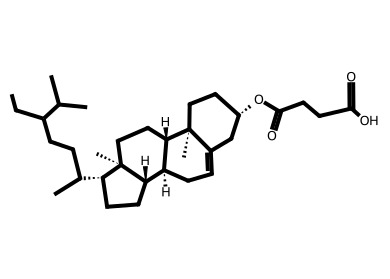 CCC(CCC(C)[C@H]1CC[C@H]2[C@@H]3CC=C4C[C@@H](OC(=O)CCC(=O)O)CC[C@]4(C)[C@H]3CC[C@]12C)C(C)C